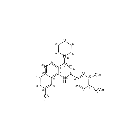 COc1ccc(CNc2c(C(=O)N3CCCCC3)cnc3ccc(C#N)cc23)cc1Cl